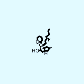 CCCC[C@@H](F)CC=C(OC1CCCCO1)[C@@]12C[C@@H](C)C[C@H]1CC(O)O2